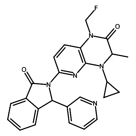 CC1C(=O)N(CF)c2ccc(N3C(=O)c4ccccc4C3c3cccnc3)nc2N1C1CC1